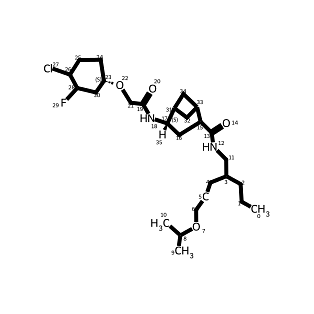 CCCC(CCCOC(C)C)CNC(=O)C1C[C@H](NC(=O)CO[C@H]2CCC(Cl)C(F)C2)C2CC1C2